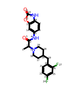 CC(C(=O)Nc1ccc2[nH]c(=O)oc2c1)N1CCC(Cc2ccc(F)cc2F)CC1